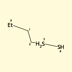 CCCC[SH2]S